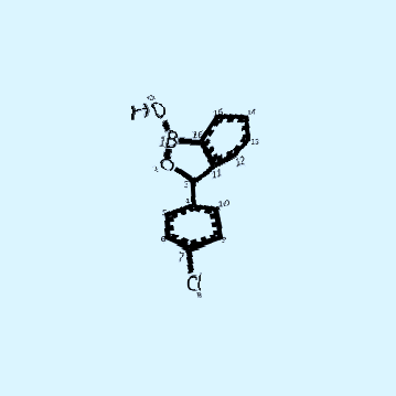 OB1OC(c2ccc(Cl)cc2)c2ccccc21